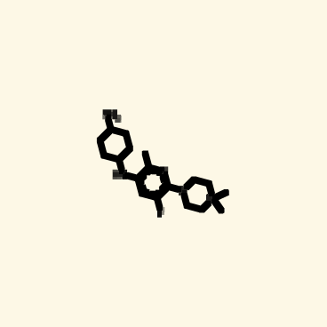 Cc1nc(N2CC[Si](C)(C)CC2)c(F)cc1NC1CCC(N)CC1